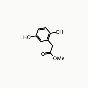 COC(=O)Cc1cc(O)ccc1O